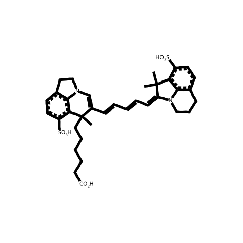 CC1(C)C(=CC=CC=CC2=CN3CCc4ccc(S(=O)(=O)O)c(c43)C2(C)CCCCCC(=O)O)N2CCCc3ccc(S(=O)(=O)O)c1c32